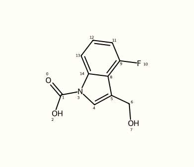 O=C(O)n1cc(CO)c2c(F)cccc21